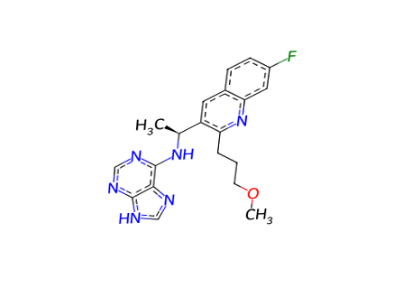 COCCCc1nc2cc(F)ccc2cc1[C@H](C)Nc1ncnc2[nH]cnc12